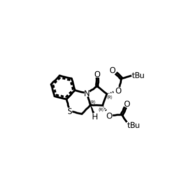 CC(C)(C)C(=O)O[C@H]1[C@@H](OC(=O)C(C)(C)C)C(=O)N2c3ccccc3SC[C@@H]12